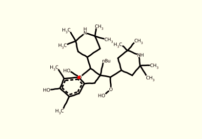 CCCCC(Cc1cc(C)c(O)c(C)c1)(C(OO)C1CC(C)(C)NC(C)(C)C1)C(OO)C1CC(C)(C)NC(C)(C)C1